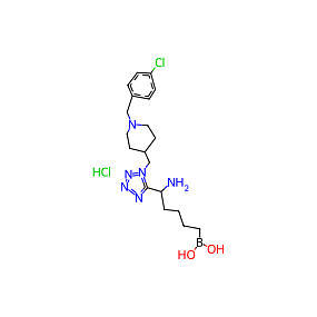 Cl.NC(CCCCB(O)O)c1nnnn1CC1CCN(Cc2ccc(Cl)cc2)CC1